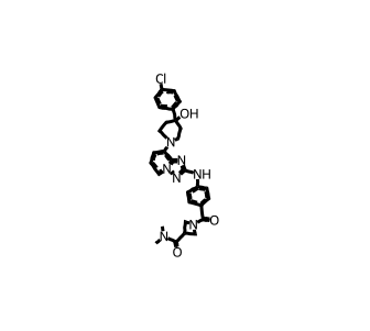 CN(C)C(=O)C1CN(C(=O)c2ccc(Nc3nc4c(N5CCC(O)(c6ccc(Cl)cc6)CC5)cccn4n3)cc2)C1